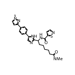 CNC(=O)CCCCCC(NC(=O)c1ccns1)c1ncc(-c2ccc(-c3ccn(C)n3)cc2)[nH]1